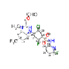 CN(CCOC=O)[C@H]1C[C@@H](C(F)(F)F)CC[C@@H]1Nc1cc(F)c(S(=O)(=O)Nc2cccc(F)n2)cc1Cl